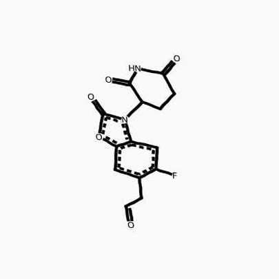 O=CCc1cc2oc(=O)n(C3CCC(=O)NC3=O)c2cc1F